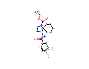 CCOC(=O)N1CCC(NC(=O)c2ccc(Cl)c(Cl)c2)C12CCCCC2